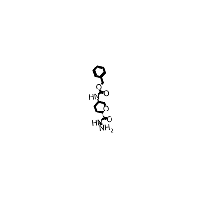 NNC(=O)[C@@H]1CC[C@@H](NC(=O)OCc2ccccc2)CO1